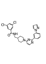 O=C(NCC1CCN(c2ccnc(-c3cccc(-n4cccn4)c3)n2)CC1)c1cc(Cl)cc(Cl)c1